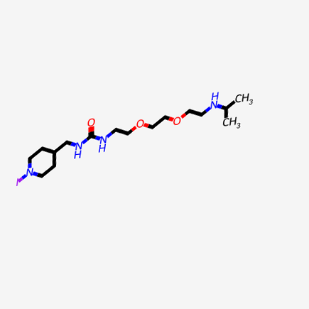 CC(C)NCCOCCOCCNC(=O)NCC1CCN(I)CC1